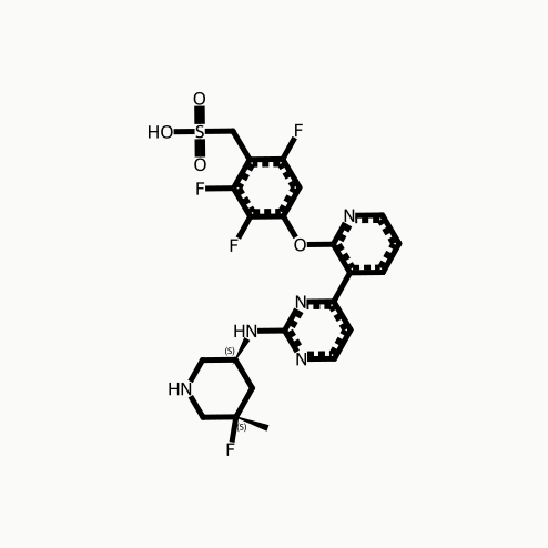 C[C@@]1(F)CNC[C@@H](Nc2nccc(-c3cccnc3Oc3cc(F)c(CS(=O)(=O)O)c(F)c3F)n2)C1